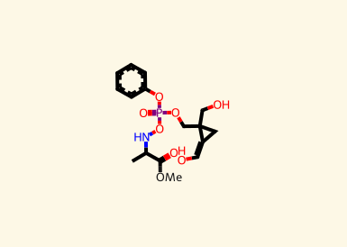 COC(=O)C(C)NOP(=O)(OCC1(CO)C/C1=C/O)Oc1ccccc1